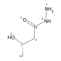 C[C@H](O)CC(=O)NN